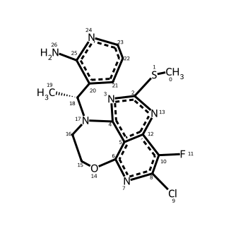 CSc1nc2c3c(nc(Cl)c(F)c3n1)OCCN2[C@H](C)c1cccnc1N